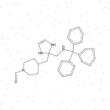 O=CN1CCC(CC2(CNC(c3ccccc3)(c3ccccc3)c3ccccc3)NC=CN2)CC1